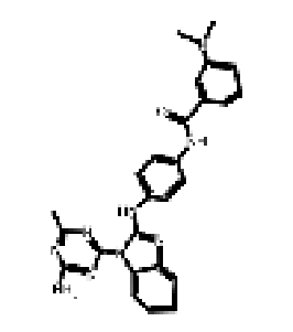 Cc1nc(N)nc(-n2c(Nc3ccc(NC(=O)c4cccc(N(C)C)c4)cc3)nc3ccccc32)n1